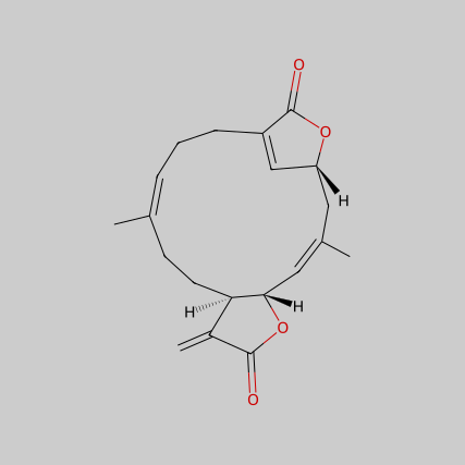 C=C1C(=O)O[C@H]2C=C(C)C[C@@H]3C=C(CCC=C(C)CC[C@H]12)C(=O)O3